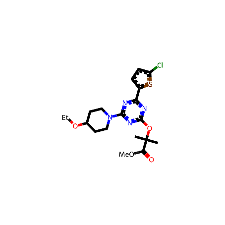 CCOC1CCN(c2nc(OC(C)(C)C(=O)OC)nc(-c3ccc(Cl)s3)n2)CC1